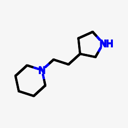 C1CCN(CCC2CCNC2)CC1